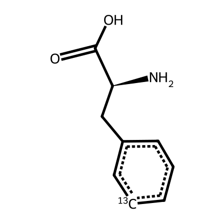 N[C@@H](Cc1ccc[13cH]c1)C(=O)O